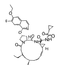 CCOc1cc2ccnc(O[C@@H]3C[C@H]4C(=O)N[C@]5(C(=O)NS(=O)(=O)C6CC6)C[C@H]5/C=C\CC[C@@H](C)C[C@@H](CC)CC(=O)N4C3)c2cc1F